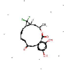 CC1C[C@@H]2C(/C=C\C=C\C(=O)Cc3cc(O)cc(O)c3C(=O)O1)C2(F)F